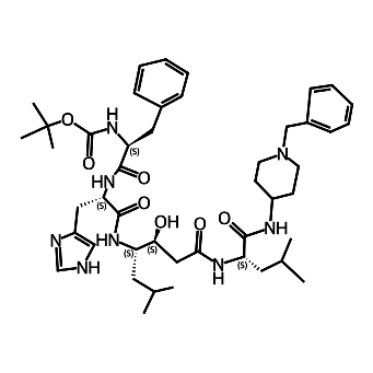 CC(C)C[C@H](NC(=O)C[C@H](O)[C@H](CC(C)C)NC(=O)[C@H](Cc1c[nH]cn1)NC(=O)[C@H](Cc1ccccc1)NC(=O)OC(C)(C)C)C(=O)NC1CCN(Cc2ccccc2)CC1